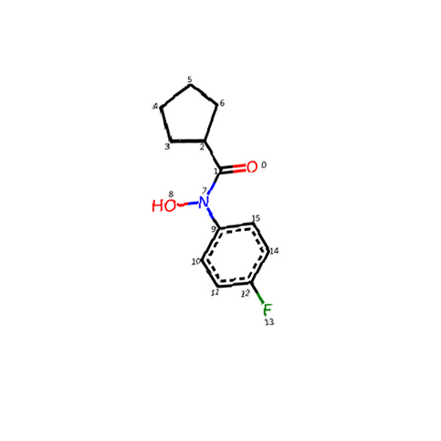 O=C(C1CCCC1)N(O)c1ccc(F)cc1